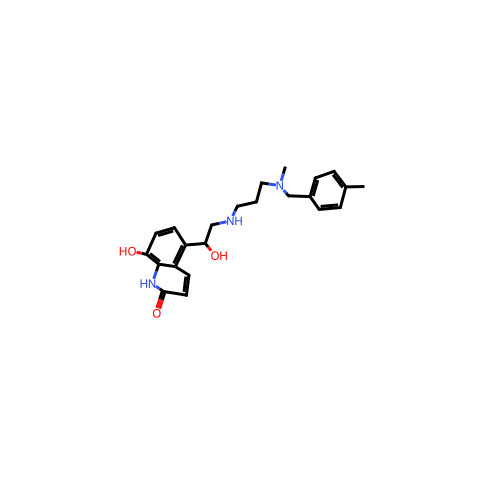 Cc1ccc(CN(C)CCCNCC(O)c2ccc(O)c3[nH]c(=O)ccc23)cc1